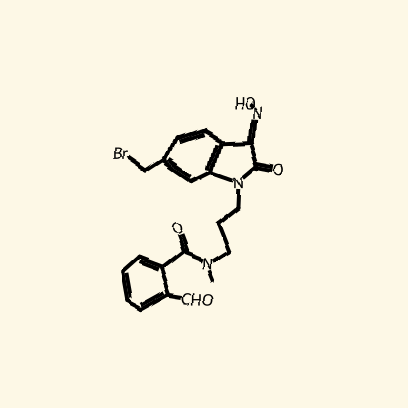 CN(CCCN1C(=O)/C(=N/O)c2ccc(CBr)cc21)C(=O)c1ccccc1C=O